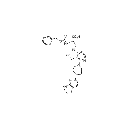 CC(C)Cc1c(NC[C@H](NC(=O)OCc2ccccc2)C(=O)O)ncnc1N1CCC(c2ccc3c(n2)NCCC3)CC1